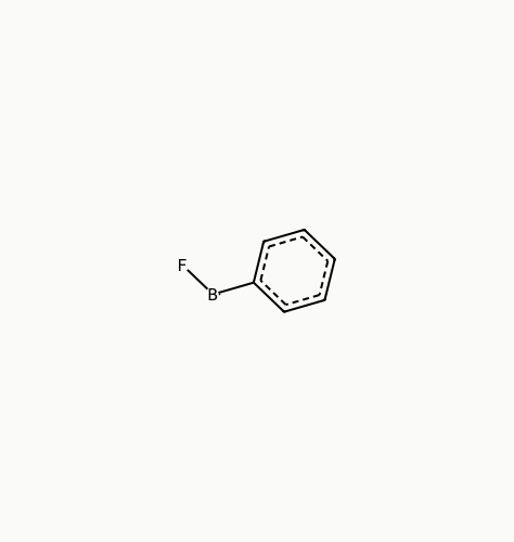 F[B]c1ccccc1